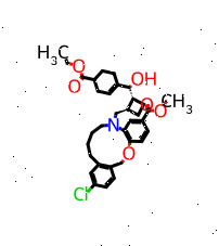 CCOC(=O)C1CC=C(C(O)[C@@H]2CC[C@H]2CN2CCCCc3cc(Cl)ccc3COc3ccc(C(=O)OC)cc32)CC1